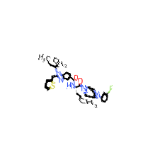 CCC[C@H](NC(=O)c1ccc2c(c1)nc(Cc1cccs1)n2C(CC)CC)C(=O)N1CC2CC1CN2c1cccc(F)c1